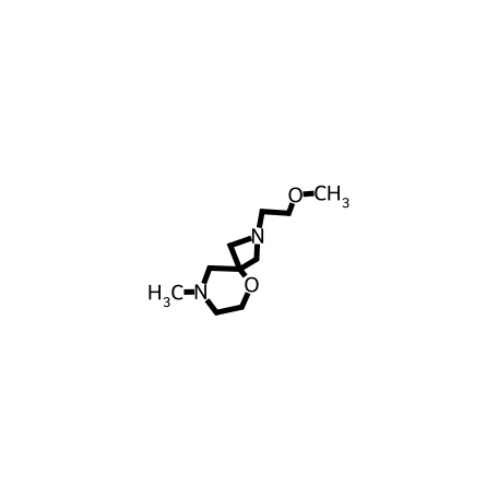 COCCN1CC2(CN(C)CCO2)C1